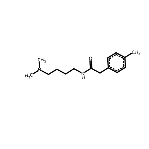 Cc1ccc(CC(=O)NCCCCN(C)C)cc1